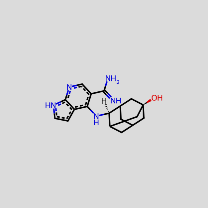 N=C(N)c1cnc2[nH]ccc2c1N[C@H]1C2CC3CC1C[C@@](O)(C3)C2